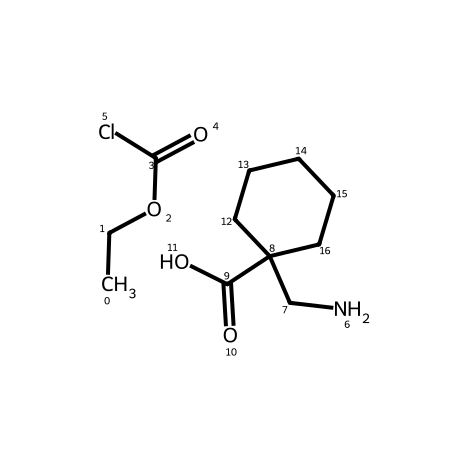 CCOC(=O)Cl.NCC1(C(=O)O)CCCCC1